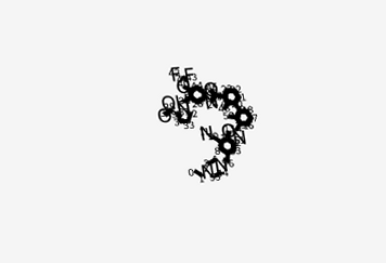 CCN1CCN(Cc2cc(C#N)c3oc(-c4cccc(-c5cccc(-c6nc7cc(CN8CCC[C@H]8C(=O)O)c(OC(F)F)cc7o6)c5C)c4C)nc3c2)CC1